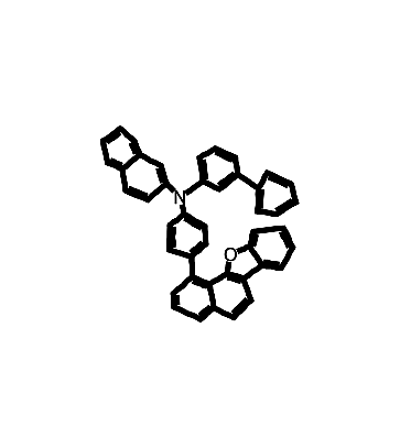 c1ccc(-c2cccc(N(c3ccc(-c4cccc5ccc6c7ccccc7oc6c45)cc3)c3ccc4ccccc4c3)c2)cc1